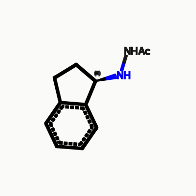 CC(=O)NN[C@@H]1CCc2ccccc21